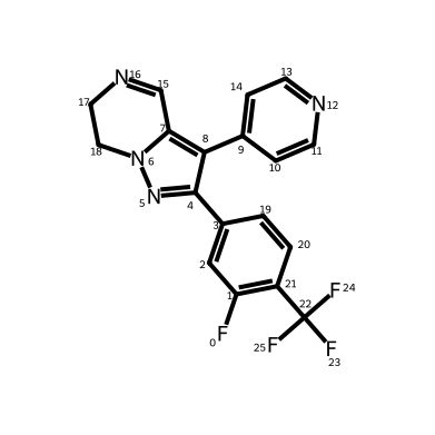 Fc1cc(-c2nn3c(c2-c2ccncc2)C=NCC3)ccc1C(F)(F)F